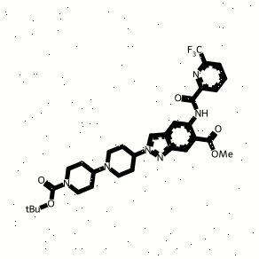 COC(=O)c1cc2nn(C3CCN(C4CCN(C(=O)OC(C)(C)C)CC4)CC3)cc2cc1NC(=O)c1cccc(C(F)(F)F)n1